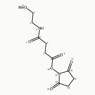 COCCNC(=O)CCC(=O)ON1C(=O)CCC1=O